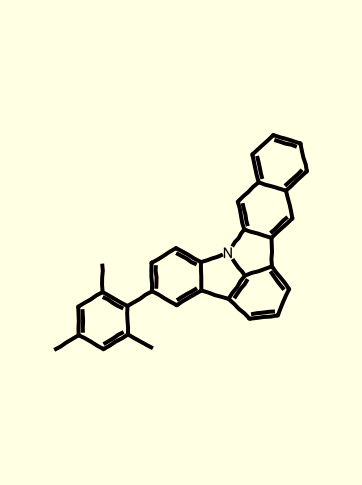 Cc1cc(C)c(-c2ccc3c(c2)c2cccc4c5cc6ccccc6cc5n3c24)c(C)c1